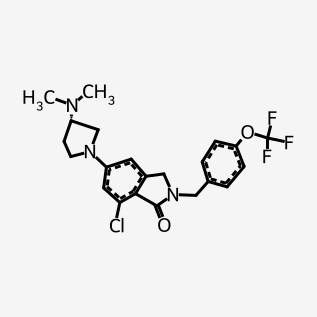 CN(C)[C@H]1CCN(c2cc(Cl)c3c(c2)CN(Cc2ccc(OC(F)(F)F)cc2)C3=O)C1